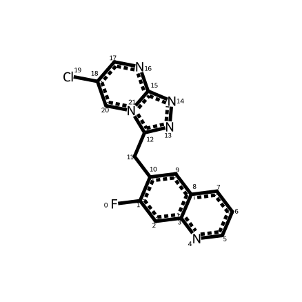 Fc1cc2ncccc2cc1Cc1nnc2ncc(Cl)cn12